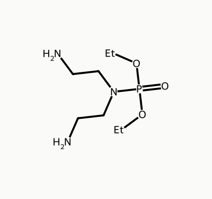 CCOP(=O)(OCC)N(CCN)CCN